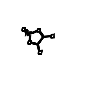 O=[PH]1OC(Cl)C(Cl)O1